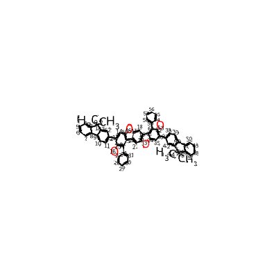 CC1(C)c2ccccc2-c2ccc(-c3cc4oc5cc6c(cc5c4c4c3oc3ccccc34)oc3cc(-c4ccc5c(c4)C(C)(C)c4ccccc4-5)c4oc5ccccc5c4c36)cc21